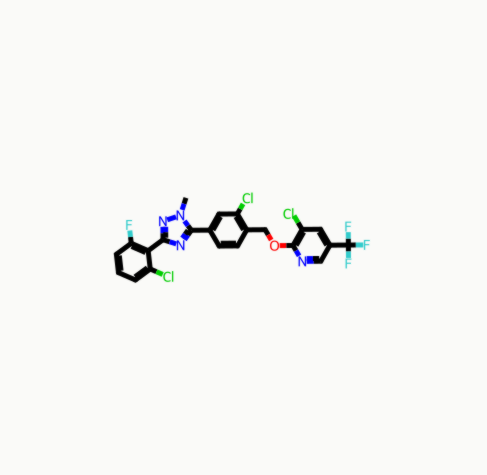 Cn1nc(-c2c(F)cccc2Cl)nc1-c1ccc(COc2ncc(C(F)(F)F)cc2Cl)c(Cl)c1